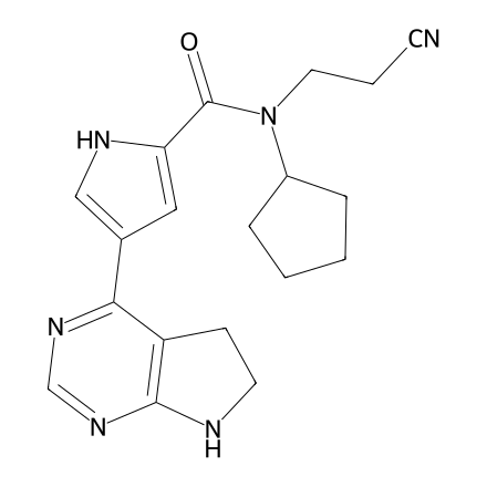 N#CCCN(C(=O)c1cc(-c2ncnc3c2CCN3)c[nH]1)C1CCCC1